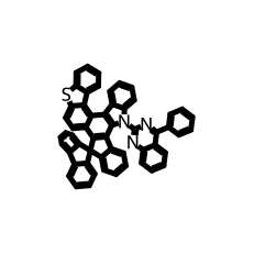 c1ccc(-c2nc(-n3c4ccccc4c4c5c(ccc6sc7ccccc7c65)c5c(c43)-c3ccccc3C53c4ccccc4-c4ccccc43)nc3ccccc23)cc1